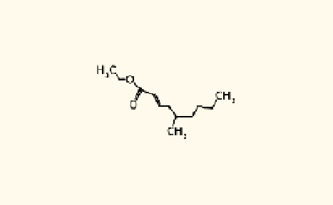 CCCCC(C)CC=CC(=O)OCC